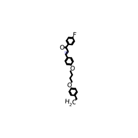 C=Cc1ccc(OCCCCOc2ccc(/C=C/C(=O)c3ccc(F)cc3)cc2)cc1